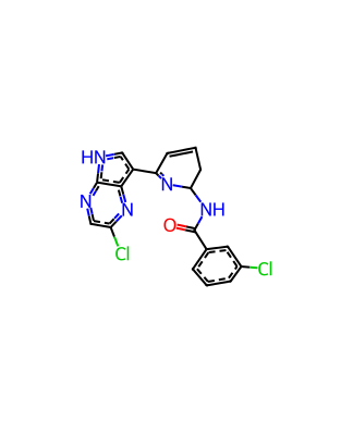 O=C(NC1CC=CC(c2c[nH]c3ncc(Cl)nc23)=N1)c1cccc(Cl)c1